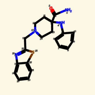 NC(=O)C1(Nc2ccccc2)CCN(Cc2nc3ccccc3s2)CC1